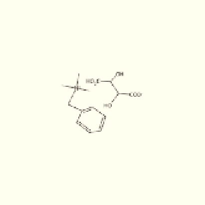 C[N+](C)(C)Cc1ccccc1.O=C([O-])C(O)C(O)C(=O)O